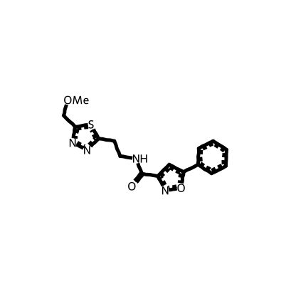 COCc1nnc(CCNC(=O)c2cc(-c3ccccc3)on2)s1